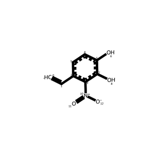 [CH]=Cc1ccc(O)c(O)c1[N+](=O)[O-]